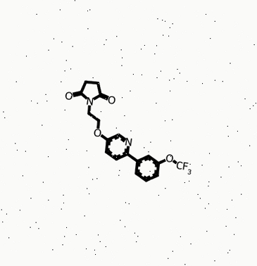 O=C1CCC(=O)N1CCOc1ccc(-c2cccc(OC(F)(F)F)c2)nc1